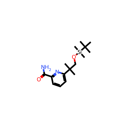 CC(C)(CO[Si](C)(C)C(C)(C)C)c1cccc(C(N)=O)n1